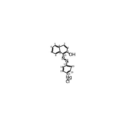 Oc1ccc2ccccc2c1N=Nc1cc[c]([Hg][Cl])cc1